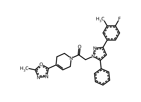 Cc1nnc(C2=CCN(C(=O)Cn3nc(-c4ccc(F)c(C)c4)cc3-c3ccccc3)CC2)o1